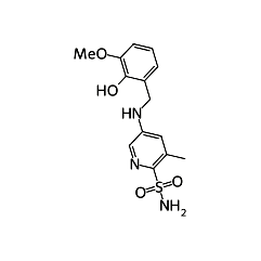 COc1cccc(CNc2cnc(S(N)(=O)=O)c(C)c2)c1O